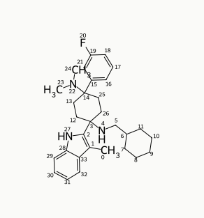 Cc1c(C2(NCC3CCCCC3)CCC(c3cccc(F)c3)(N(C)C)CC2)[nH]c2ccccc12